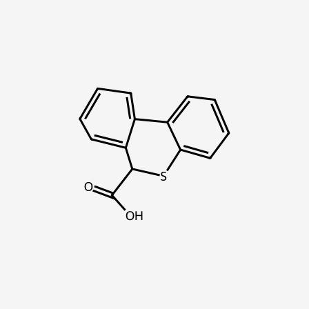 O=C(O)C1Sc2ccccc2-c2ccccc21